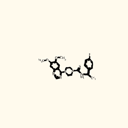 COc1cc2ncnc(N3CCN(C(=S)NC(C)c4ccc(F)cc4)CC3)c2cc1OC